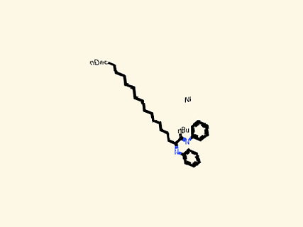 CCCCCCCCCCCCCCCCCCCCCCCCC(=Nc1ccccc1)C(CCCC)=Nc1ccccc1.[Ni]